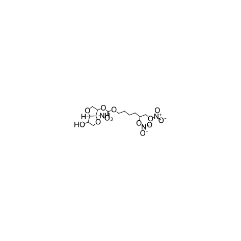 N[C@]12OCC(O)[C@H]1OCC2OC(=O)OCCCCC(CO[N+](=O)[O-])O[N+](=O)[O-]